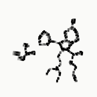 C=CCOC(=O)c1c2ccc(Cl)cc2c(-c2ccccc2)n1CCN(CC)CC.Cl.O=C(O)O